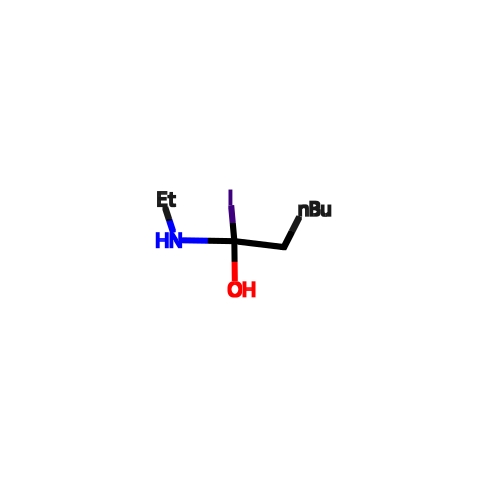 CCCCCC(O)(I)NCC